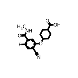 CNC(=O)c1cc(OC2CCC(C(=O)O)CC2)c(C#N)cc1F